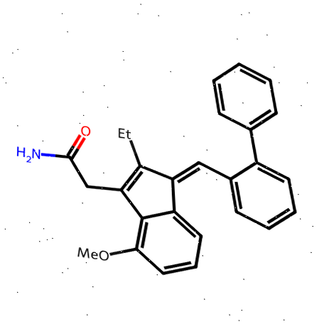 CCC1=C(CC(N)=O)c2c(OC)cccc2C1=Cc1ccccc1-c1ccccc1